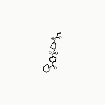 C=CC(=O)NC1C2CN(S(=O)(=O)c3ccc(C(=O)N4CCCCC4)cc3)CC21